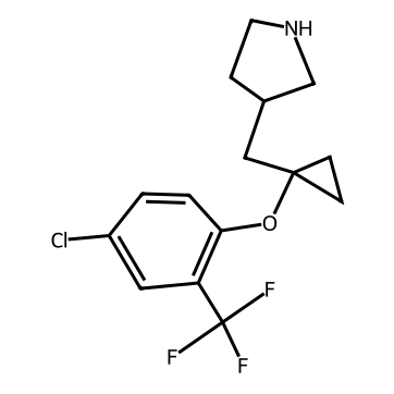 FC(F)(F)c1cc(Cl)ccc1OC1(CC2CCNC2)CC1